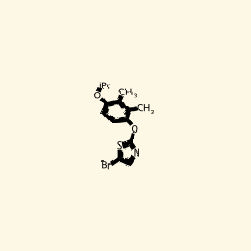 Cc1c(Oc2ncc(Br)s2)ccc(OC(C)C)c1C